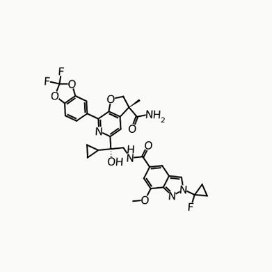 COc1cc(C(=O)NC[C@](O)(c2cc3c(c(-c4ccc5c(c4)OC(F)(F)O5)n2)OC[C@]3(C)C(N)=O)C2CC2)cc2cn(C3(F)CC3)nc12